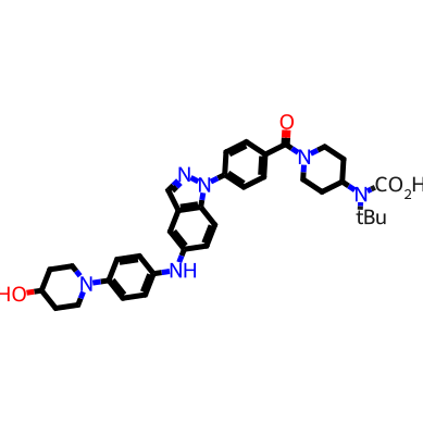 CC(C)(C)N(C(=O)O)C1CCN(C(=O)c2ccc(-n3ncc4cc(Nc5ccc(N6CCC(O)CC6)cc5)ccc43)cc2)CC1